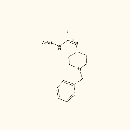 CC(=O)NN/C(C)=N\C1CCN(Cc2ccccc2)CC1